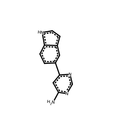 Nc1cc(-c2ccc3[nH]ccc3c2)ncn1